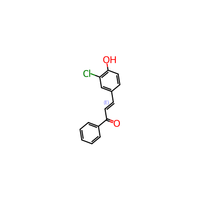 O=C(/C=C/c1ccc(O)c(Cl)c1)c1ccccc1